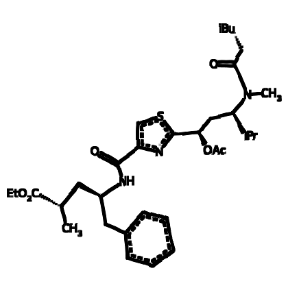 CCOC(=O)[C@@H](C)C[C@H](Cc1ccccc1)NC(=O)c1csc([C@@H](C[C@H](C(C)C)N(C)C(=O)C[C@@H](C)CC)OC(C)=O)n1